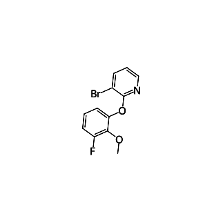 COc1c(F)cccc1Oc1ncccc1Br